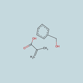 C=C(C)C(=O)O.OCc1ccccc1